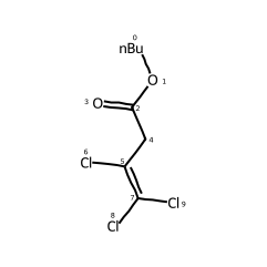 CCCCOC(=O)CC(Cl)=C(Cl)Cl